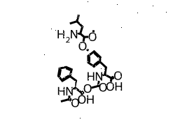 CC(=O)NC(Cc1ccccc1)C(=O)O.CC(=O)N[C@@H](Cc1ccccc1)C(=O)O.COC(OC)C(N)CC(C)C